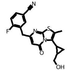 Cc1sc2nc(Cc3cc(C#N)ccc3F)cc(=O)n2c1C1CC1CO